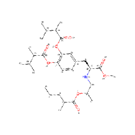 CCCC(C)C(=O)OC(C)CN[C@@H](Cc1ccc(OC(=O)C(C)C(C)C)c(OC(=O)C(C)C(C)C)c1)C(=O)OC